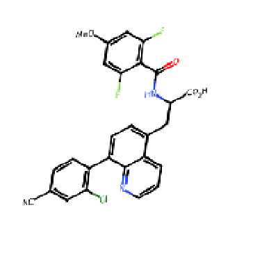 COc1cc(F)c(C(=O)NC(Cc2ccc(-c3ccc(C#N)cc3Cl)c3ncccc23)C(=O)O)c(F)c1